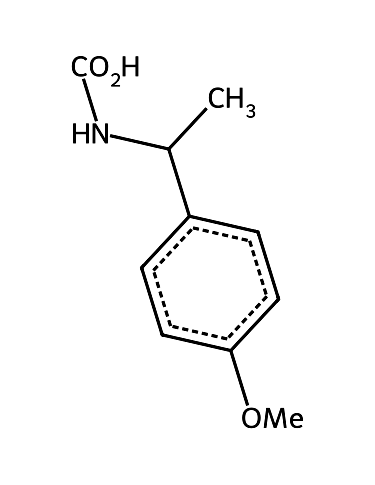 COc1ccc(C(C)NC(=O)O)cc1